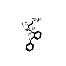 C[C@H](CC(=O)O)NS(=O)(=O)c1ccccc1Oc1ccccc1